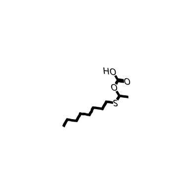 CCCCCCCCSC(C)OC(=O)O